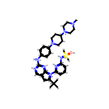 CN1CCN(C2CCN(c3ccc(Nc4ncc5cc(C(C)(C)C)n(-c6cccc(N=S(C)(C)=O)n6)c5n4)cc3)CC2)CC1